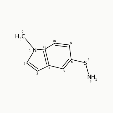 Cn1ccc2cc(SN)ccc21